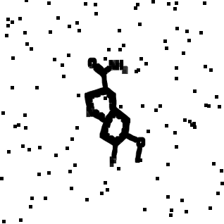 COc1cc2cc(C(N)=O)cnc2cc1F